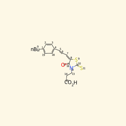 CCCCc1ccc(C=CC=C2SC(=S)N(CCC(=O)O)C2=O)cc1